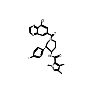 Cc1nn(C)c(C(=O)N[C@@H]2CCN(C(=O)c3cc(Cl)c4nccnc4c3)C[C@@H]2c2ccc(F)cc2)c1C